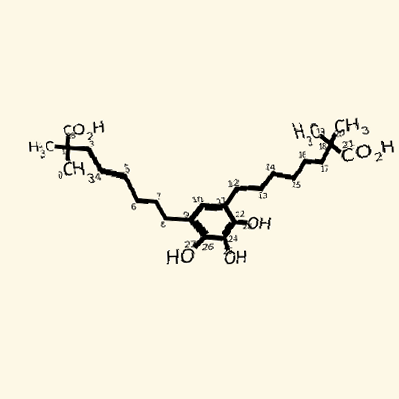 CC(C)(CCCCCCc1cc(CCCCCCC(C)(C)C(=O)O)c(O)c(O)c1O)C(=O)O